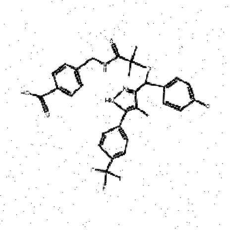 Cc1c(C(OC(C)(C)C(=O)NCc2ccc(C(=O)O)cc2)c2ccc(Cl)cc2)n[nH]c1-c1ccc(C(F)(F)F)cc1